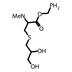 CNC(CSCC(O)CO)C(=O)OCP